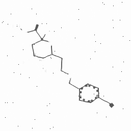 C#Cc1ccc(COCCC2OC(O)(C(=O)ON)C[C@@H](O)[C@H]2O)cc1